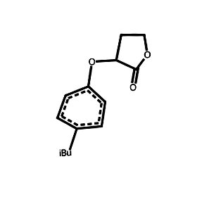 CCC(C)c1ccc(OC2CCOC2=O)cc1